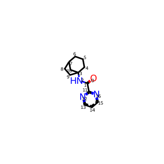 O=C(NC12CCCC(CC1)C2)c1ncccn1